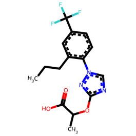 CCCc1cc(C(F)(F)F)ccc1-n1cnc(OC(C)C(=O)O)n1